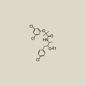 CCOC(Cc1ccc(Cl)cc1)C(C)NC(=O)C(C)(C)Oc1cc(Cl)cc(Cl)c1